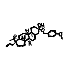 C=CC[C@]1(C(C)=O)CC[C@H]2[C@@H]3CC=C4CC(O)(OCc5ccc(OC)cc5)CC[C@]4(C)[C@H]3CC[C@@]21C